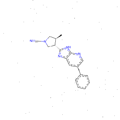 C[C@@H]1CN(C#N)C[C@H]1c1nc2cc(-c3ccccc3)cnc2[nH]1